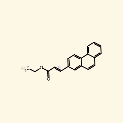 CCOC(=O)/C=C/c1ccc2c(ccc3ccccc32)c1